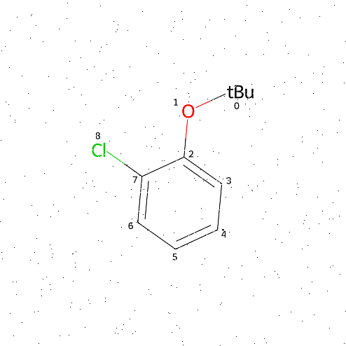 CC(C)(C)Oc1c[c]ccc1Cl